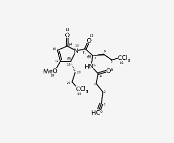 C#CCCC(=O)N[C@H](CCC(Cl)(Cl)Cl)C(=O)N1C(=O)C=C(OC)[C@H]1CCC(Cl)(Cl)Cl